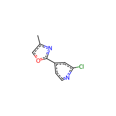 Cc1coc(-c2ccnc(Cl)c2)n1